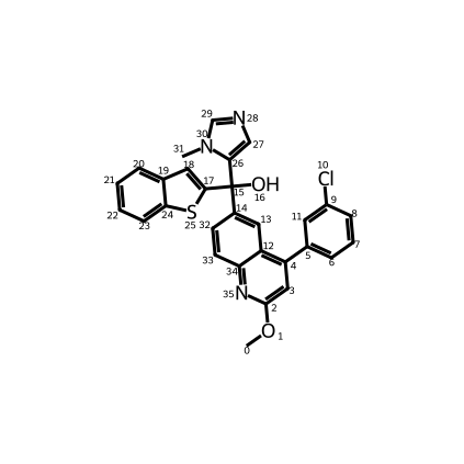 COc1cc(-c2cccc(Cl)c2)c2cc(C(O)(c3cc4ccccc4s3)c3cncn3C)ccc2n1